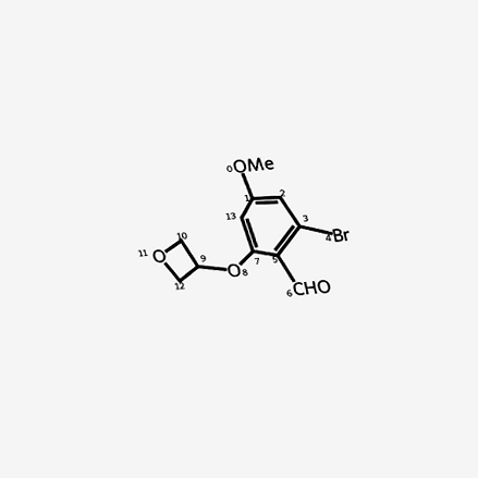 COc1cc(Br)c(C=O)c(OC2COC2)c1